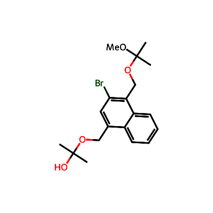 COC(C)(C)OCc1c(Br)cc(COC(C)(C)O)c2ccccc12